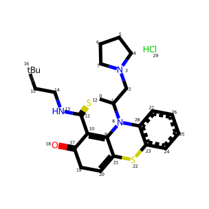 CC(CN1CCCC1)N1C2=C(C(=S)NCCC(C)(C)C)C(=O)CC=C2Sc2ccccc21.Cl